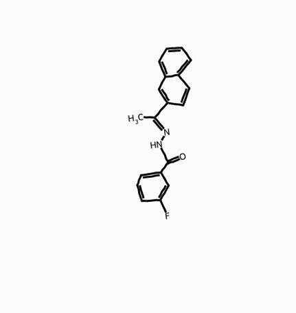 CC(=NNC(=O)c1cccc(F)c1)c1ccc2ccccc2c1